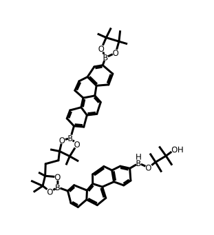 CC(C)(O)C(C)(C)OBc1ccc2c(ccc3c4cc(B5OC(C)(C)C(C)(CCC6(C)OB(c7ccc8c(ccc9c%10ccc(B%11OC(C)(C)C(C)(C)O%11)cc%10ccc89)c7)OC6(C)C)O5)ccc4ccc23)c1